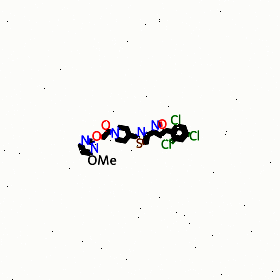 COc1ccnc(OCC(=O)N2CCC(c3nc(C4=NOC(c5c(Cl)cc(Cl)cc5Cl)C4)cs3)CC2)n1